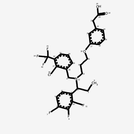 CCC(c1ccc(F)c(F)c1F)N(CCCOc1cccc(CC(=O)O)c1)Cc1cccc(C(F)(F)F)c1Cl